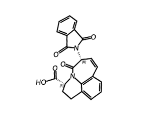 O=C(O)[C@H]1CCc2cccc3c2N1C(=O)[C@H](N1C(=O)c2ccccc2C1=O)C=C3